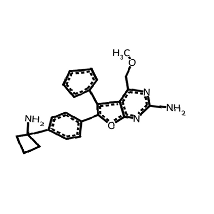 COCc1nc(N)nc2oc(-c3ccc(C4(N)CCC4)cc3)c(-c3ccccc3)c12